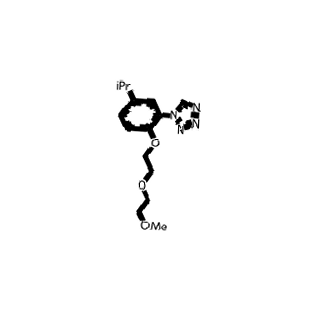 COCCOCCOc1ccc(C(C)C)cc1-n1cnnn1